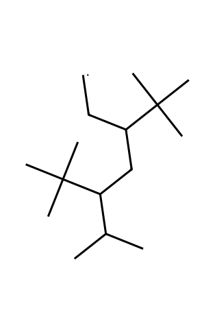 [CH2]CC(CC(C(C)C)C(C)(C)C)C(C)(C)C